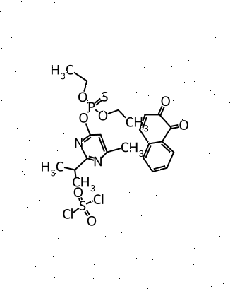 CCOP(=S)(OCC)Oc1cc(C)nc(C(C)C)n1.O=C1C=Cc2ccccc2C1=O.O=S(=O)(Cl)Cl